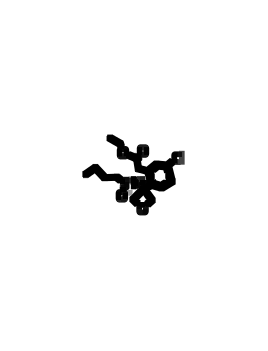 CCCC[S+]([O-])NC1(c2ccc(Cl)cc2CC(=O)OCC)COC1